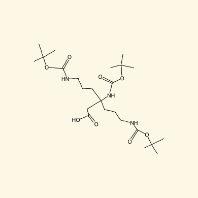 CC(C)(C)OC(=O)NCCCC(CCCNC(=O)OC(C)(C)C)(CC(=O)O)NC(=O)OC(C)(C)C